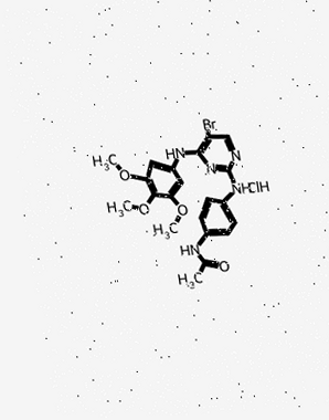 COc1cc(Nc2nc(Nc3ccc(NC(C)=O)cc3)ncc2Br)cc(OC)c1OC.Cl